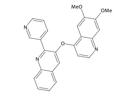 COc1cc2nccc(Oc3cc4ccccc4nc3-c3cccnc3)c2cc1OC